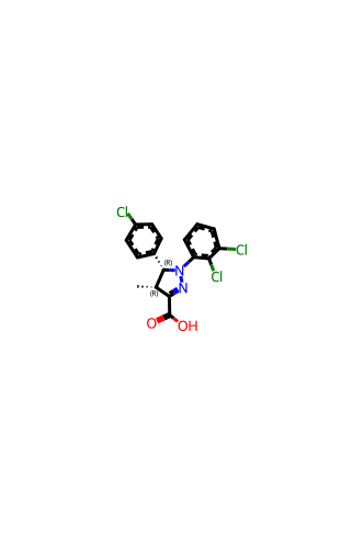 C[C@H]1C(C(=O)O)=NN(c2cccc(Cl)c2Cl)[C@H]1c1ccc(Cl)cc1